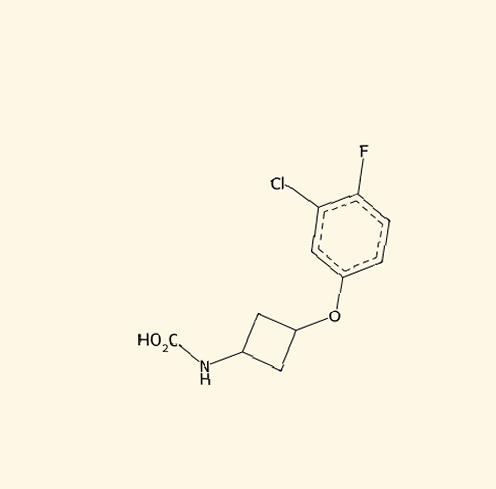 O=C(O)NC1CC(Oc2ccc(F)c(Cl)c2)C1